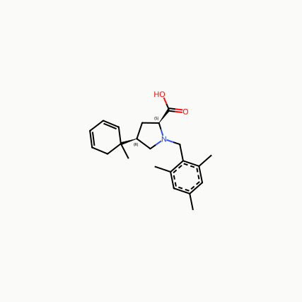 Cc1cc(C)c(CN2C[C@@H](C3(C)C=CC=CC3)C[C@H]2C(=O)O)c(C)c1